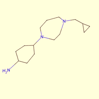 NC1CCC(N2CCCN(CC3CC3)CC2)CC1